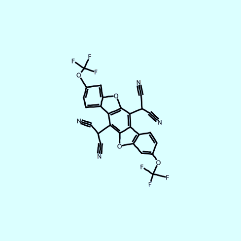 N#CC(C#N)c1c2oc3cc(OC(F)(F)F)ccc3c2c(C(C#N)C#N)c2oc3cc(OC(F)(F)F)ccc3c12